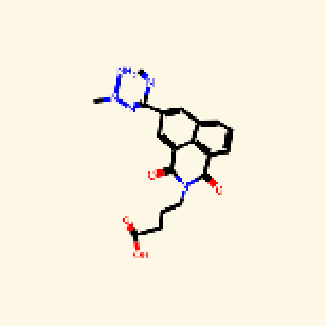 C=N/C(=N\N(C)N)c1cc2c3c(cccc3c1)C(=O)N(CCCC(=O)O)C2=O